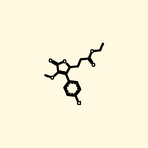 CCOC(=O)CCC1OC(=O)C(OC)=C1c1ccc(Cl)cc1